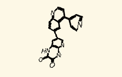 O=C1[N]c2ncc(-c3ccc4nccc(-c5ccncc5)c4c3)cc2NC1=O